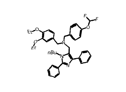 CCCCn1c(-c2ccccc2)nc(-c2ccccc2)c1CN(Cc1ccc(OC(F)F)cc1)Cc1ccc(OCC)c(OCC)c1